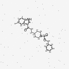 Cc1ccc2[nH]cc(C(=O)CCC3CCN(C(=O)OCc4ccccc4)CC3)c2c1